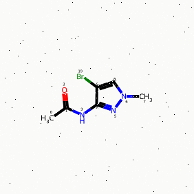 CC(=O)Nc1nn(C)cc1Br